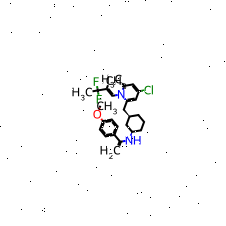 C=C(N[C@@H]1CCC[C@H](CC2=CC(Cl)=CC(C)N2/C=C(\C)C(C)(F)F)C1)c1ccc(OC)cc1